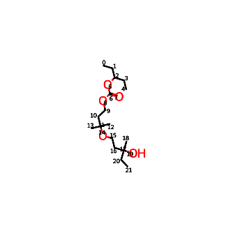 CCC(CC)OC(=O)OCCC(C)(C)OCCC(C)(O)CC